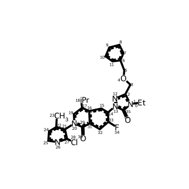 CCn1c(COCc2ccccc2)nn(-c2cc3c(C(C)C)cn(-c4c(C)ccnc4Cl)c(=O)c3cc2F)c1=O